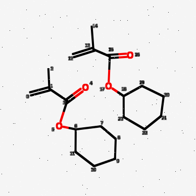 C=C(C)C(=O)OC1CCCCC1.C=C(C)C(=O)OC1CCCCC1